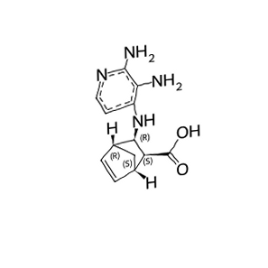 Nc1nccc(N[C@H]2[C@@H](C(=O)O)[C@@H]3C=C[C@H]2C3)c1N